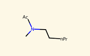 [CH2]C(=O)N(C)CCCCC